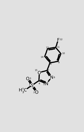 CS(=O)(=O)c1nnc(-c2ccc(F)cc2)o1